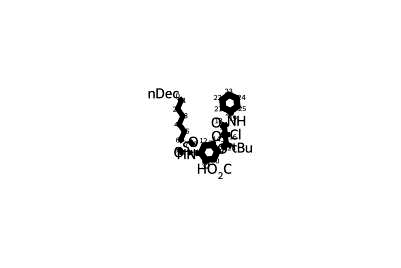 CCCCCCCCCCCCCCCCS(=O)(=O)Nc1cc(OC(Cl)(C(=O)Nc2ccccc2)C(=O)C(C)(C)C)ccc1C(=O)O